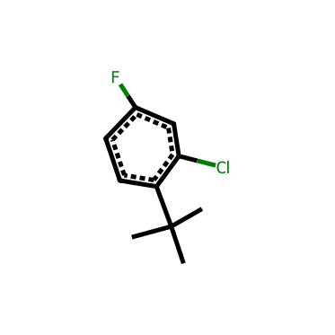 CC(C)(C)c1ccc(F)cc1Cl